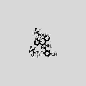 N#Cc1ccc(C(F)(F)F)c(-c2nc3c([nH]2)-c2ccncc2Nc2ncccc2-3)c1F.O=C(O)C(F)(F)F.O=C(O)C(F)(F)F